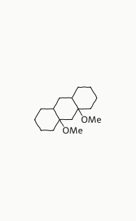 COC12CCCCC1CC1CCCCC1(OC)C2